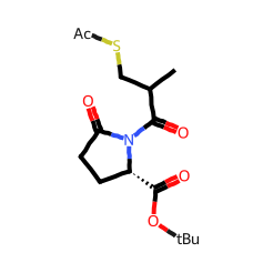 CC(=O)SCC(C)C(=O)N1C(=O)CC[C@H]1C(=O)OC(C)(C)C